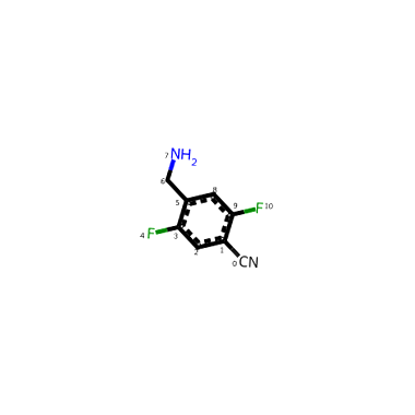 N#Cc1cc(F)c(CN)cc1F